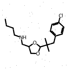 CCCCNCC1COC(C(C)(C)Cc2ccc(Cl)cc2)O1